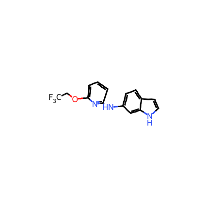 FC(F)(F)COc1cccc(Nc2ccc3cc[nH]c3c2)n1